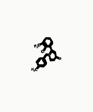 Cc1ccc(Cn2ccc(=O)cc2-c2cccc(C(F)(F)F)c2Cl)cc1